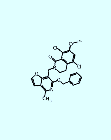 Cc1nc(OCc2ccccc2)c(CN2CCc3c(Cl)cc(OC(C)C)c(Cl)c3C2=O)c2occc12